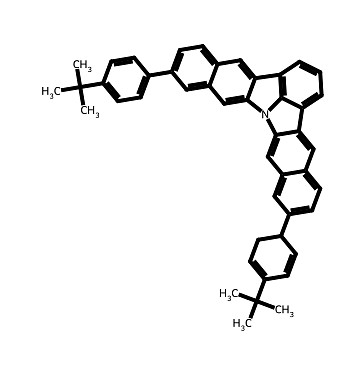 CC(C)(C)C1=CCC(c2ccc3cc4c5cccc6c7cc8ccc(-c9ccc(C(C)(C)C)cc9)cc8cc7n(c4cc3c2)c65)C=C1